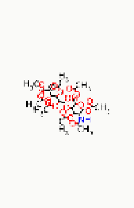 COC(=O)C(C)C(OC(C)=O)C(OC(C)=O)C(OC(C)=O)C(O)OC1C(COC(C)=O)OC(OC(C)=O)C(NC(C)=O)C1OC(C)=O